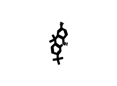 CC(C)(C)c1ccc2c(c1)Nc1ccc(Br)cc1C2(C)C